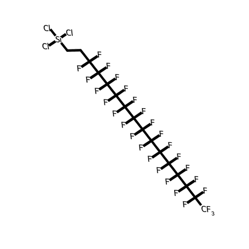 FC(F)(F)C(F)(F)C(F)(F)C(F)(F)C(F)(F)C(F)(F)C(F)(F)C(F)(F)C(F)(F)C(F)(F)C(F)(F)C(F)(F)C(F)(F)C(F)(F)CC[Si](Cl)(Cl)Cl